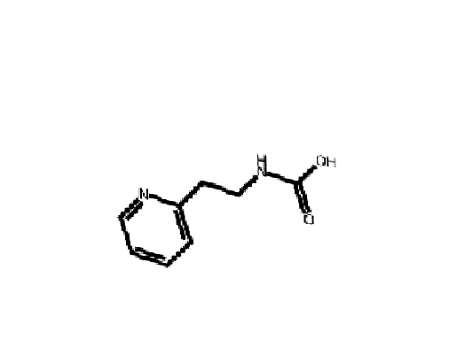 O=C(O)NCCc1ccccn1